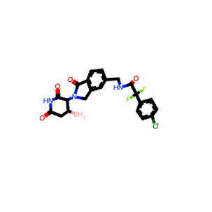 BC1CC(=O)NC(=O)C1N1Cc2cc(CNC(=O)C(F)(F)c3ccc(Cl)cc3)ccc2C1=O